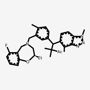 CC[C@@H]1CN(Cc2cc(C(c3ccc4c(nnn4C)c3C)C(C)(C)C(C)=O)ccc2C)Cc2c(F)cccc2O1